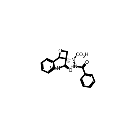 CNC(=O)[C@]1(N(NC(=O)c2ccccc2)C(=O)O)COC1c1ccccc1